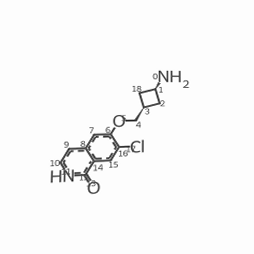 N[C@H]1C[C@@H](COc2cc3cc[nH]c(=O)c3cc2Cl)C1